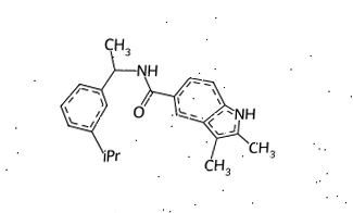 Cc1[nH]c2ccc(C(=O)NC(C)c3cccc(C(C)C)c3)cc2c1C